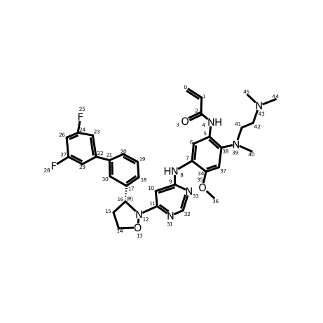 C=CC(=O)Nc1cc(Nc2cc(N3OCC[C@@H]3c3cccc(-c4cc(F)cc(F)c4)c3)ncn2)c(OC)cc1N(C)CCN(C)C